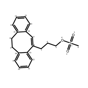 CS(=O)(=O)OCCCC1=Cc2ccccc2CCc2ccccc21